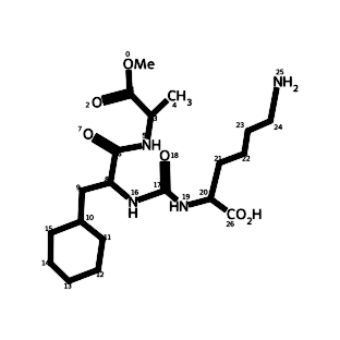 COC(=O)C(C)NC(=O)C(CC1CCCCC1)NC(=O)NC(CCCCN)C(=O)O